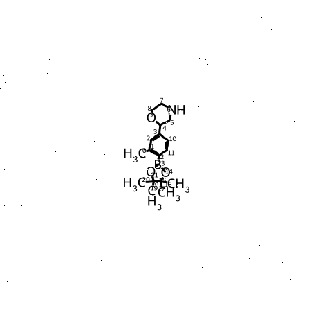 Cc1cc(C2CNCCO2)ccc1B1OC(C)(C)C(C)(C)O1